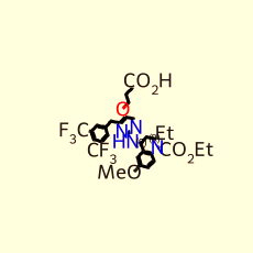 CCOC(=O)N1c2ccc(OC)cc2[C@@H](Nc2ncc(OCCCC(=O)O)c(Cc3cc(C(F)(F)F)cc(C(F)(F)F)c3)n2)C[C@H]1CC